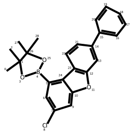 CC1(C)OB(c2cc(Cl)cc3oc4cc(-c5ccccc5)ccc4c23)OC1(C)C